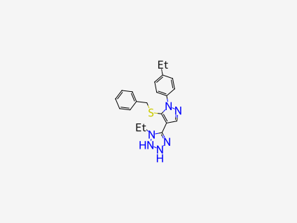 CCc1ccc(-n2ncc(C3=NNNN3CC)c2SCc2ccccc2)cc1